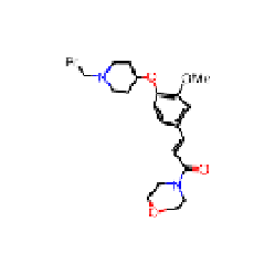 COc1cc(C=CC(=O)N2CCOCC2)ccc1OC1CCN(CC(C)C)CC1